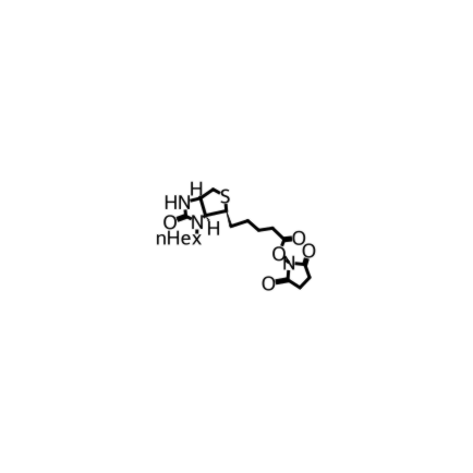 CCCCCCN1C(=O)N[C@H]2CS[C@@H](CCCCC(=O)ON3C(=O)CCC3=O)[C@H]21